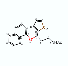 CC(=O)NCC[C@H](Oc1cccc2ccccc12)c1cccs1